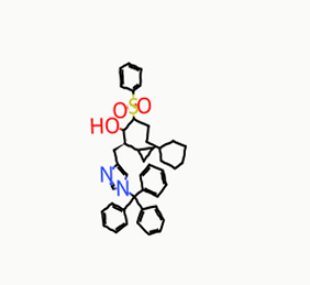 O=S(=O)(c1ccccc1)C(CCC1CCCCC1)C(O)[C@H](Cc1cn(C(c2ccccc2)(c2ccccc2)c2ccccc2)cn1)C1CC1